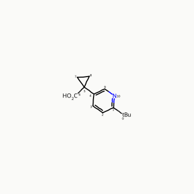 CC(C)(C)c1ccc(C2(C(=O)O)CC2)cn1